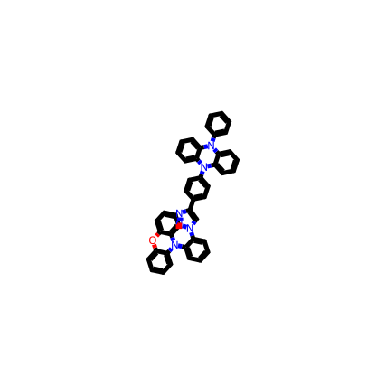 c1ccc(N2c3ccccc3N(c3ccc(-c4cn(-c5ccccc5N5c6ccccc6Oc6ccccc65)nn4)cc3)c3ccccc32)cc1